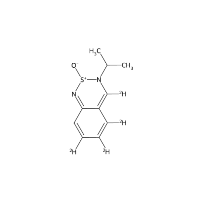 [2H]C1=c2c([2H])c([2H])c([2H])cc2=N[S+]([O-])N1C(C)C